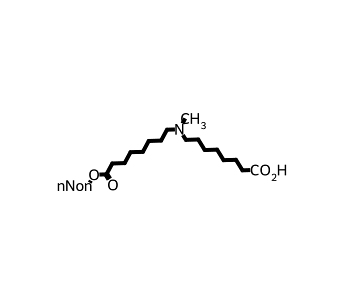 CCCCCCCCCOC(=O)CCCCCCCN(C)CCCCCCCC(=O)O